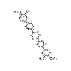 COC(=O)[C@@H](C)OC(=O)c1ccc(N2CCN(c3ccc(C(=O)O[C@H](C)C(=O)OC)cn3)CC2)nc1